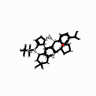 CC(C)c1ccc([C@@H](O)c2c(C3CCCC3)nc3c(c2[C@@H]2CCC=C2O[Si](C)(C)C(C)(C)C)CCC(C)(C)C3)cc1